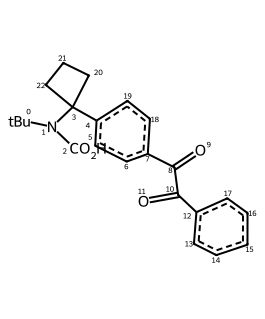 CC(C)(C)N(C(=O)O)C1(c2ccc(C(=O)C(=O)c3ccccc3)cc2)CCC1